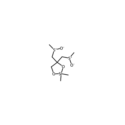 C[S+]([O-])CC1(C[S+](C)[O-])CO[Si](C)(C)O1